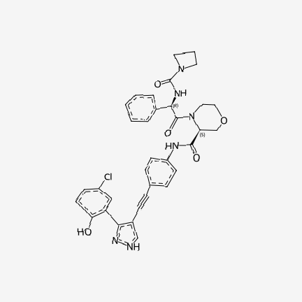 O=C(Nc1ccc(C#Cc2c[nH]nc2-c2cc(Cl)ccc2O)cc1)[C@@H]1COCCN1C(=O)[C@H](NC(=O)N1CCC1)c1ccccc1